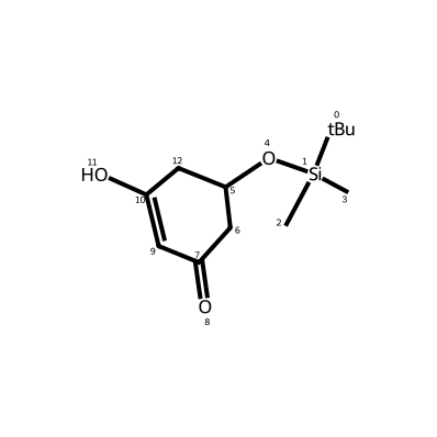 CC(C)(C)[Si](C)(C)OC1CC(=O)C=C(O)C1